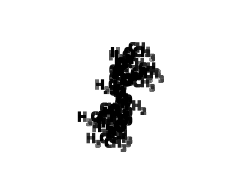 C=P1(Oc2ccc(C(C)(C)CC(C)(C)C)cc2C2C(=O)Oc3ccc(C(C)(C)CC(C)(C)C)cc32)OCC2(CO1)COP(=C)(Oc1ccc(C(C)(C)CC(C)(C)C)cc1C1C(=O)Oc3ccc(C(C)(C)CC(C)(C)C)cc31)OC2